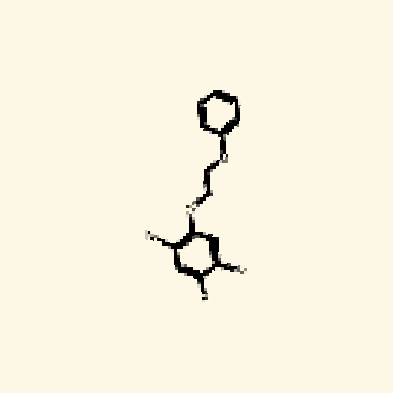 CC(=O)c1cc(Br)c(OCCOc2ccccc2)cc1Br